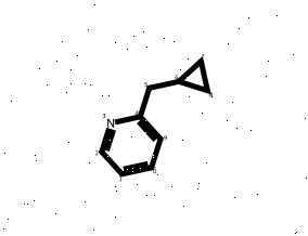 [c]1ccnc(CC2CC2)c1